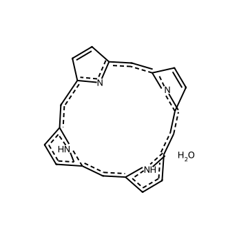 C1=Cc2cc3ccc(cc4ccc(cc5nc(cc1n2)C=C5)[nH]4)[nH]3.O